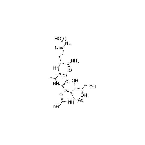 CCCC(=O)N[C@@H](C(C)=O)[C@@H](OC(=O)NC(C)C(=O)NC(CCC(=O)N(C)C(=O)O)C(N)=O)[C@H](O)[C@H](O)CO